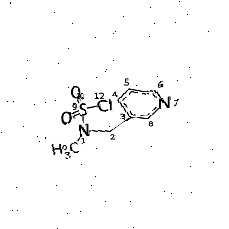 CN(Cc1cccnc1)S(=O)(=O)Cl